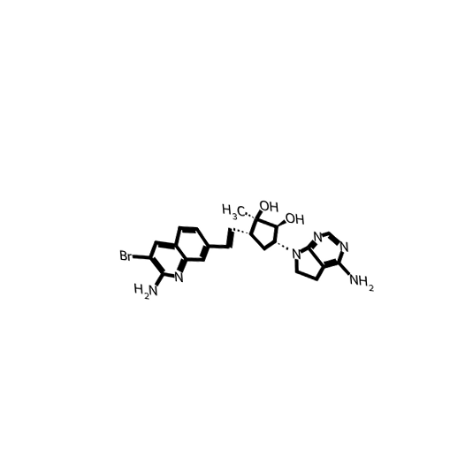 C[C@@]1(O)[C@@H](/C=C/c2ccc3cc(Br)c(N)nc3c2)C[C@@H](N2CCc3c(N)ncnc32)[C@@H]1O